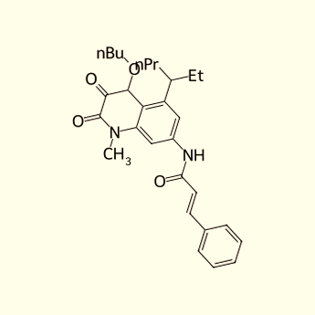 CCCCOC1C(=O)C(=O)N(C)c2cc(NC(=O)C=Cc3ccccc3)cc(C(CC)CCC)c21